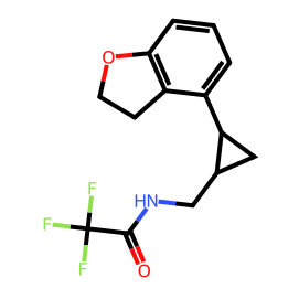 O=C(NCC1CC1c1cccc2c1CCO2)C(F)(F)F